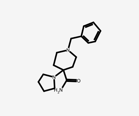 NC(=O)C1(N2CCCC2)CCN(Cc2ccccc2)CC1